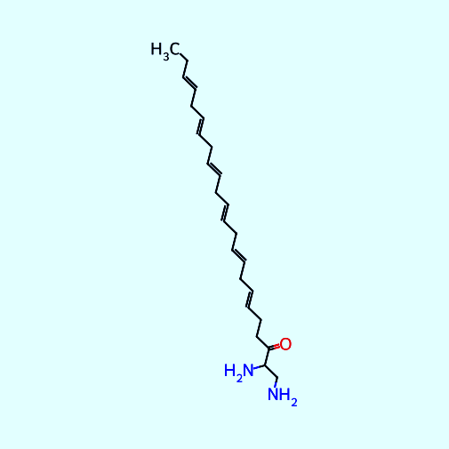 CCC=CCC=CCC=CCC=CCC=CCC=CCCC(=O)C(N)CN